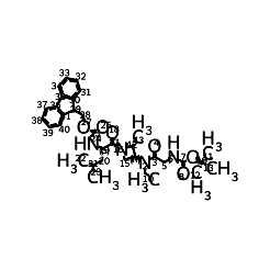 CCN(C(=O)CNC(=O)OC(C)(C)C)[C@@H]1CN(C(=O)[C@H](CC(C)C)NC(=O)OCC2c3ccccc3-c3ccccc32)C1C